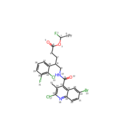 CCCC(F)OC(=O)CCC(CNC(=O)c1c(C)c(Cl)nc2ccc(Br)cc12)c1cccc(F)c1Cl